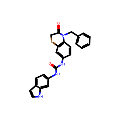 O=C(Nc1ccc2c(c1)SCC(=O)N2Cc1ccccc1)Nc1ccc2cc[nH]c2c1